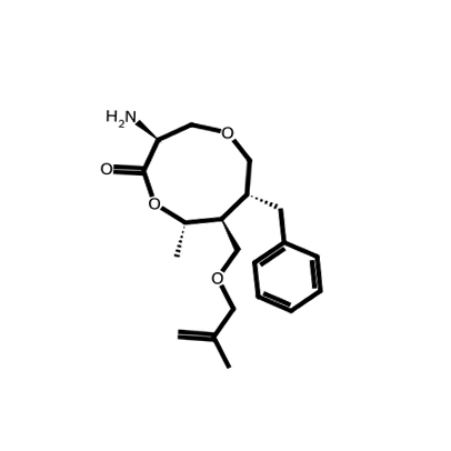 C=C(C)COC[C@@H]1[C@@H](Cc2ccccc2)COC[C@H](N)C(=O)O[C@H]1C